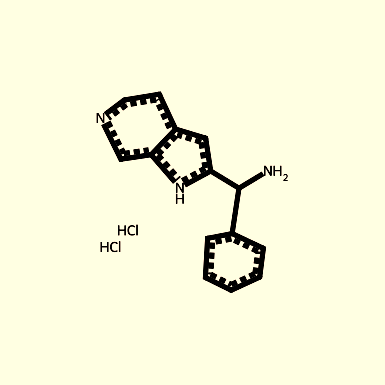 Cl.Cl.NC(c1ccccc1)c1cc2ccncc2[nH]1